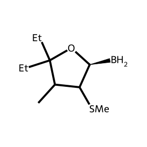 B[C@@H]1OC(CC)(CC)C(C)C1SC